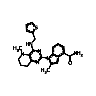 Cc1cc2c(C(N)=O)cccc2n1-c1nc2c(c(NCc3cccs3)n1)N(C)CCC2